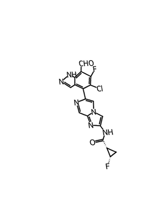 O=Cc1c(F)c(Cl)c(-c2cn3cc(NC(=O)[C@@H]4C[C@@H]4F)nc3cn2)c2cn[nH]c12